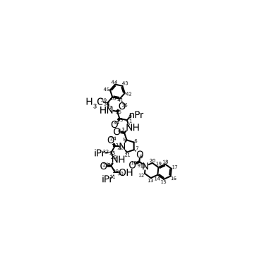 CCCC(NC(=O)C1C[C@H](OC(=O)N2CCc3ccccc3C2)CN1C(=O)[C@@H](NC(=O)[C@H](O)C(C)C)C(C)C)C(=O)C(=O)N[C@@H](C)c1ccccc1